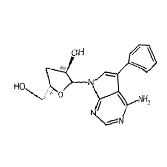 Nc1ncnc2c1c(-c1ccccc1)cn2C1O[C@H](CO)C[C@H]1O